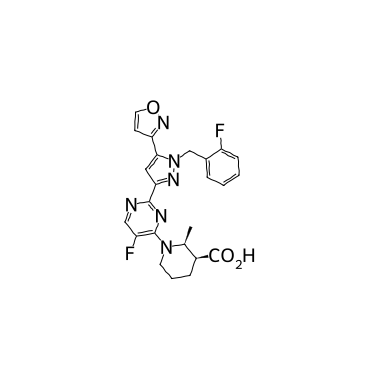 C[C@H]1[C@@H](C(=O)O)CCCN1c1nc(-c2cc(-c3ccon3)n(Cc3ccccc3F)n2)ncc1F